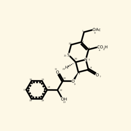 CC(=O)OCC1=C(C(=O)O)N2C(=O)[C@@H](OC(=O)C(O)c3ccccc3)[C@H]2SC1